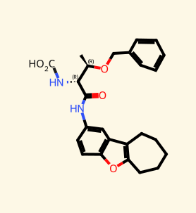 C[C@@H](OCc1ccccc1)[C@@H](NC(=O)O)C(=O)Nc1ccc2oc3c(c2c1)CCCCC3